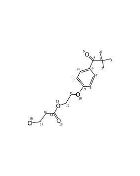 CC(C)(C)C(=O)c1ccc(OCCOC(=O)CCCl)cc1